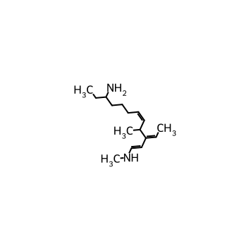 C/C=C(/C=C/NC)C(C)/C=C\CCCC(N)CC